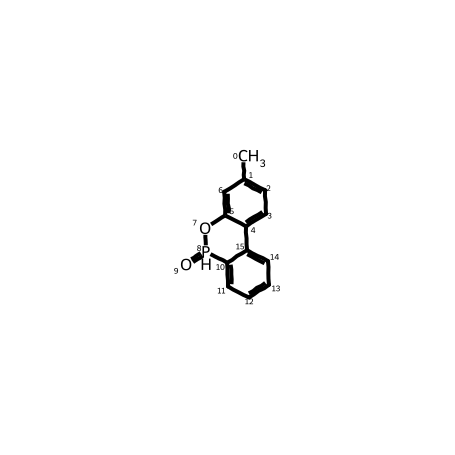 Cc1ccc2c(c1)O[PH](=O)c1ccccc1-2